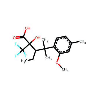 CCC(C(C)(C)c1ccc(C)cc1OC)C(O)(C(=O)O)C(F)(F)F